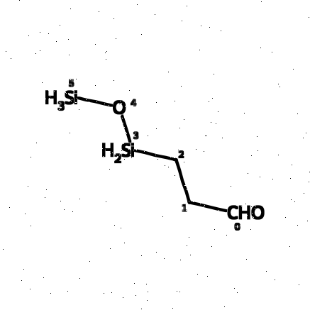 O=CCC[SiH2]O[SiH3]